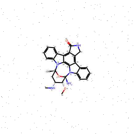 CN[C@@H]1C[C@H]2O[C@@](N)([C@@H]1OC)n1c3ccccc3c3c4c(c5c6ccccc6n2c5c31)C(=O)NC4